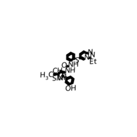 CCc1nnc2ccc(Sc3ccccc3NC(=O)Nc3cc(C(C)(C)SC)nn3-c3cccc(O)c3)cn12